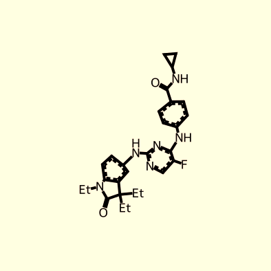 CCN1C(=O)C(CC)(CC)c2cc(Nc3ncc(F)c(Nc4ccc(C(=O)NC5CC5)cc4)n3)ccc21